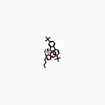 [CH2]=[Hf]([CH3])([CH3])([CH2]CCCCC)([c]1ccccc1)([CH]1C=CC=C1)[CH]1c2cc(C(C)(C)C)ccc2-c2ccc(C(C)(C)C)cc21